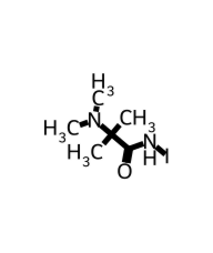 CN(C)C(C)(C)C(=O)NI